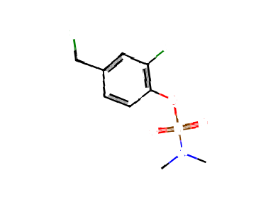 CN(C)S(=O)(=O)Oc1ccc(CCl)cc1Cl